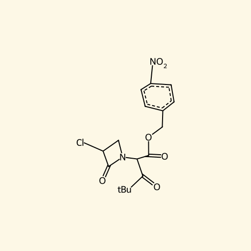 CC(C)(C)C(=O)C(C(=O)OCc1ccc([N+](=O)[O-])cc1)N1CC(Cl)C1=O